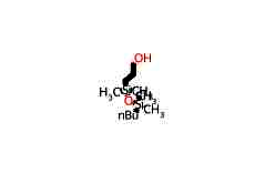 CCCC[Si](C)(C)O[Si](C)(C)CCCO